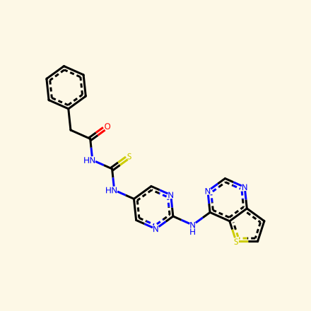 O=C(Cc1ccccc1)NC(=S)Nc1cnc(Nc2ncnc3ccsc23)nc1